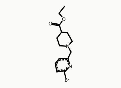 CCOC(=O)C1CCN(Cc2cccc(Br)n2)CC1